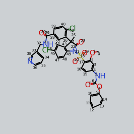 COc1cc(NC(=O)Oc2ccccc2)ccc1S(=O)(=O)N1C(=O)C(C)(c2cc(C(=O)NCc3cccnc3)ccc2Cl)c2cc(Cl)ccc21